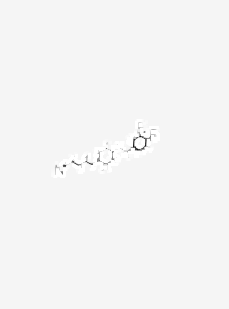 N#CC=CC=C[C@H]1CC[C@H](CCc2ccc(F)c(F)c2)CC1